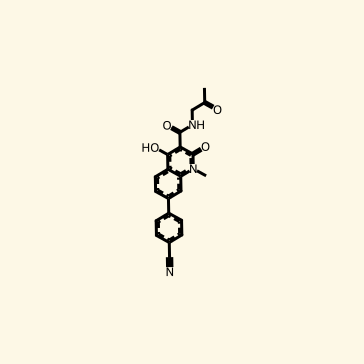 CC(=O)CNC(=O)c1c(O)c2ccc(-c3ccc(C#N)cc3)cc2n(C)c1=O